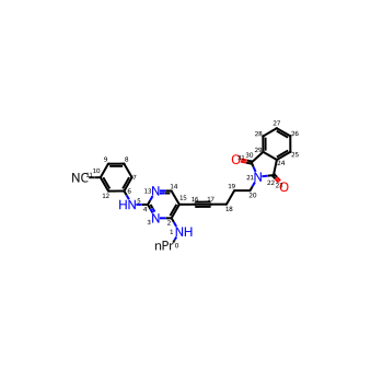 CCCNc1nc(Nc2cccc(C#N)c2)ncc1C#CCCCN1C(=O)c2ccccc2C1=O